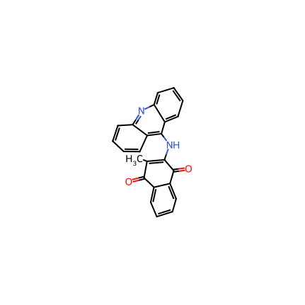 CC1=C(Nc2c3ccccc3nc3ccccc23)C(=O)c2ccccc2C1=O